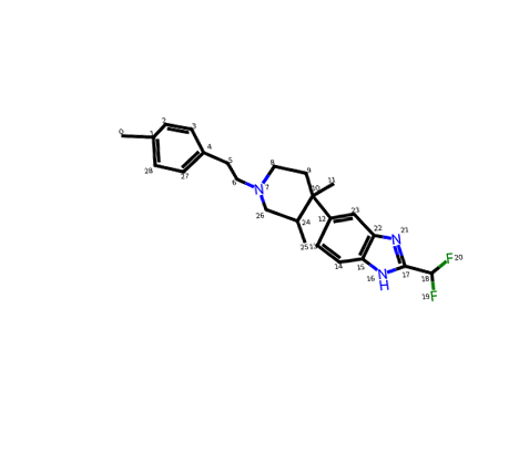 Cc1ccc(CCN2CCC(C)(c3ccc4[nH]c(C(F)F)nc4c3)C(C)C2)cc1